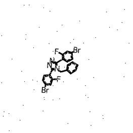 Fc1cc(Br)ccc1-c1nnc(-c2ccc(Br)cc2F)n1Cc1ccccc1